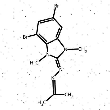 CC(C)=NN=c1n(C)c2cc(Br)cc(Br)c2n1C